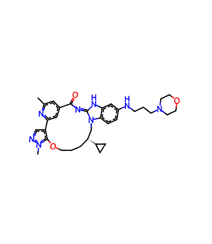 Cc1cc2cc(n1)-c1cnn(C)c1OCCC[C@@H](C1CC1)CN1/C(=N/C2=O)Nc2cc(NCCCN3CCOCC3)ccc21